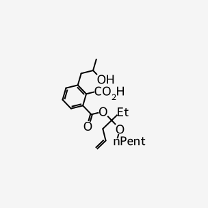 C=CCC(CC)(OCCCCC)OC(=O)c1cccc(CC(C)O)c1C(=O)O